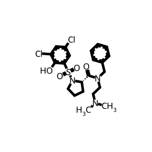 CN(C)CCN(Cc1ccccc1)C(=O)[C@@H]1CCCN1S(=O)(=O)c1cc(Cl)cc(Cl)c1O